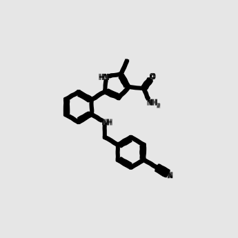 Cc1[nH]c(-c2ccccc2NCc2ccc(C#N)cc2)cc1C(N)=O